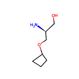 N[C@@H](CO)COC1CCC1